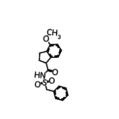 COc1cccc2c1CCC2C(=O)NS(=O)(=O)Cc1ccccc1